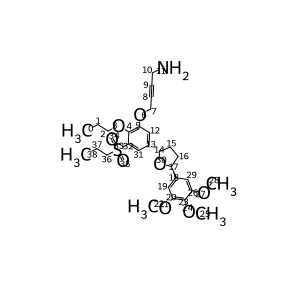 CCCOc1c(OCC#CCN)cc([C@@H]2CC[C@@H](c3cc(OC)c(OC)c(OC)c3)O2)cc1S(=O)(=O)CCC